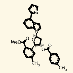 COC(=O)c1ccc(C)cc1[C@H]1O[C@@H](n2ccc3c(-c4cccs4)cccc32)C[C@@H]1OC(=O)c1ccc(C)cc1